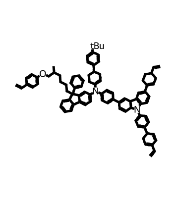 C=CC1=CCC(c2ccc(N3c4ccc(C5=CCC(C=C)CC5)cc4C4C=C(c5ccc(N(C6=CCC(c7ccc(C(C)(C)C)cc7)CC6)c6ccc7c(c6)C(CCCCC(C)COc6ccc(C=C)cc6)(c6ccccc6)c6ccccc6-7)cc5)C=CC43)cc2)C=C1